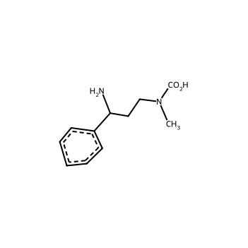 CN(CCC(N)c1ccccc1)C(=O)O